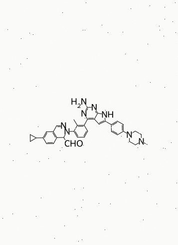 Cc1c(-c2nc(N)nc3[nH]c(-c4ccc(N5CCN(C)CC5)cc4)cc23)cccc1N1N=Cc2cc(C3CC3)ccc2C1C=O